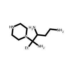 CCC(N)(C(N)CCN)N1CCNCC1